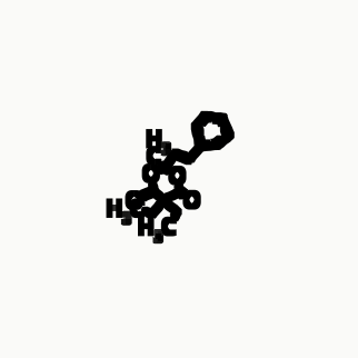 CCC1(CC)C(=O)OC(C)(C=Cc2ccccc2)OC1=O